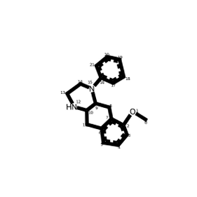 COc1cccc2c1CC1C(C2)NCCN1c1ccccc1